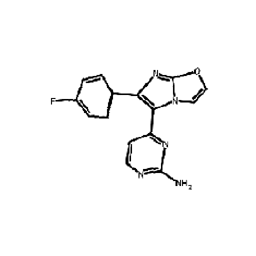 Nc1nccc(-c2c(C3C=CC(F)=CC3)nc3occn23)n1